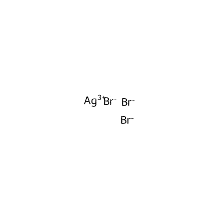 [Ag+3].[Br-].[Br-].[Br-]